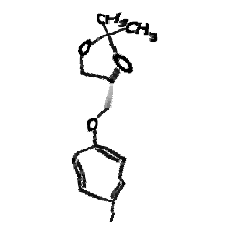 CC1(C)OC[C@@H](COc2ccc(I)cc2)O1